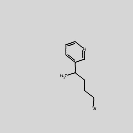 CC(CCCBr)c1cccnc1